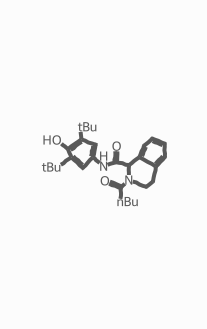 CCCCC(=O)N1CCc2ccccc2C1C(=O)Nc1cc(C(C)(C)C)c(O)c(C(C)(C)C)c1